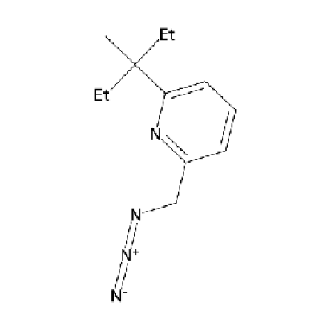 CCC(C)(CC)c1cccc(CN=[N+]=[N-])n1